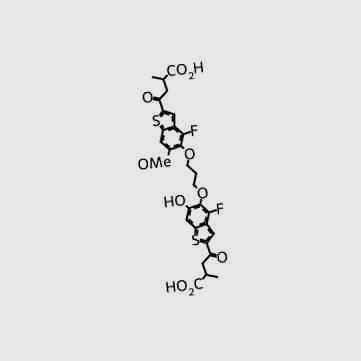 COc1cc2sc(C(=O)CC(C)C(=O)O)cc2c(F)c1OCCCOc1c(O)cc2sc(C(=O)CC(C)C(=O)O)cc2c1F